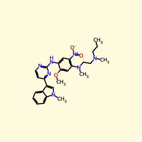 CCCN(C)CCN(C)c1cc(OC)c(Nc2nccc(-c3cn(C)c4ccccc34)n2)cc1[N+](=O)[O-]